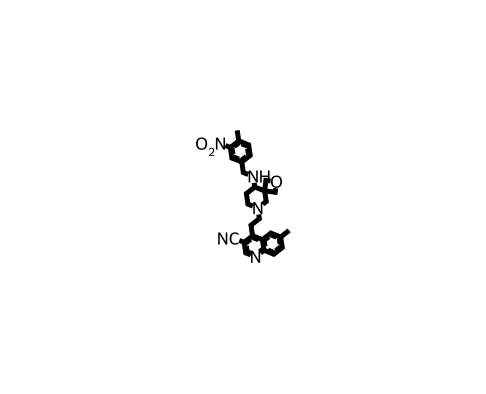 Cc1ccc2ncc(C#N)c(CCN3CCC(NCc4ccc(C)c([N+](=O)[O-])c4)C4(COC4)C3)c2c1